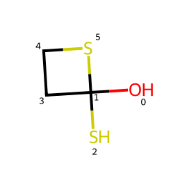 OC1(S)CCS1